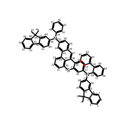 CC1(C)c2ccccc2-c2cc(N(c3ccc4c(c3)Sc3cccc5c3c-4cc3ccc(N(c4ccccc4)c4ccc6c(c4)C(C)(C)c4ccccc4-6)cc35)c3ccccc3-c3ccccc3)ccc21